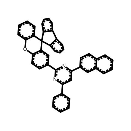 c1ccc(-c2cc(-c3ccc4ccccc4c3)nc(-c3ccc4c(c3)C3(c5ccccc5O4)c4ccccc4-c4ccccc43)n2)cc1